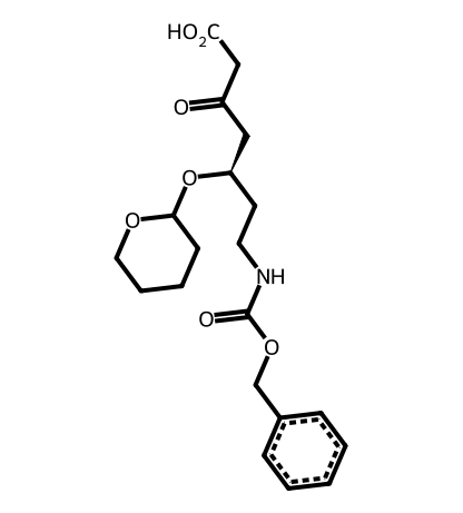 O=C(O)CC(=O)C[C@@H](CCNC(=O)OCc1ccccc1)OC1CCCCO1